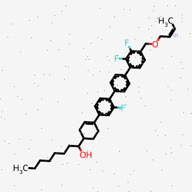 C/C=C\COCc1ccc(-c2ccc(-c3ccc(C4=CCC(C(O)CCCCCCC)CC4)cc3F)cc2)c(F)c1F